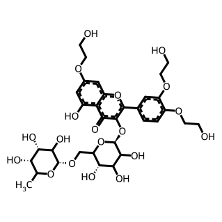 CC1O[C@@H](OCC2O[C@@H](Oc3c(-c4ccc(OCCO)c(OCCO)c4)oc4cc(OCCO)cc(O)c4c3=O)C(O)C(O)[C@@H]2O)C(O)[C@@H](O)[C@H]1O